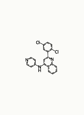 Clc1ccc(Cl)c(-c2cc(Nc3ccncc3)c3ccccc3n2)c1